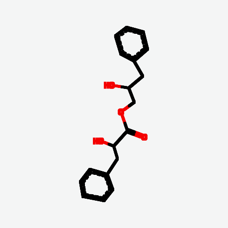 O=C(OCC(O)Cc1ccccc1)C(O)Cc1ccccc1